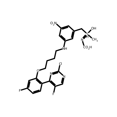 C[SH](O)(Cc1cc(NCCCCOc2cc(F)ccc2-c2nc(Cl)ncc2F)cc([N+](=O)[O-])c1)=NC(=O)O